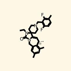 CCN1C(=O)N2Cc3cc(C)cc(C)c3[C@@H](C)C=C2C12CCN(Cc1c(F)ccc(C)c1F)CC2